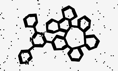 c1ccc(-c2nc(-c3cccnc3)cc(-c3ccc4c5ccccc5c5ccccc5c5ccccc5c5c6ccccc6c6ccccc6c5c4c3)n2)cc1